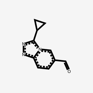 O=Cc1ccc2nnc(C3CC3)n2c1